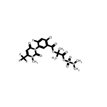 CN(C)S(=O)(=O)OC(=O)C(C)(C)OC(=O)c1cc(-n2c(=O)cc(C(F)(F)F)n(C)c2=O)c(F)cc1Cl